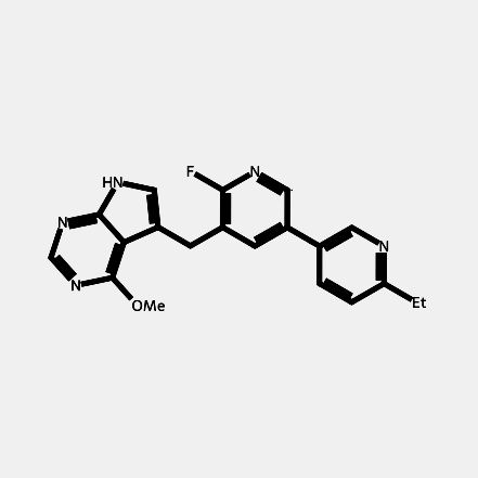 CCc1ccc(-c2[c]nc(F)c(Cc3c[nH]c4ncnc(OC)c34)c2)cn1